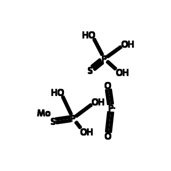 O=[P]=O.OP(O)(O)=S.OP(O)(O)=S.[Mo]